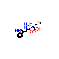 CSCC[C@@H](NC(=O)[C@@H](N)Cc1c[nH]c2ccccc12)C(=O)O